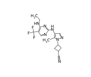 CCNc1nc(Nc2cnn(C3CC(C#N)C3)c2C)ncc1C(F)(F)F